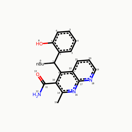 CCCCC(c1ccccc1O)c1c(C(N)=O)c(C)nc2ncccc12